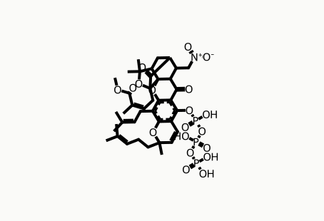 COC(=O)/C(C)=C\CC12OC(C)(C)C3CC(C1=O)C(C[N+](=O)[O-])C1C(=O)c4c(OP(=O)(O)OP(=O)(O)OP(=O)(O)O)c5c(c(CC=C(C)C)c4OC132)OC(C)(CCC=C(C)C)C=C5